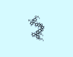 Cc1ccc(N(c2ccccc2)c2ccc3cc4c(cc3c2)oc2ccc3oc5cc6cc(N(c7ccccc7)c7ccc(C)cc7C)ccc6cc5c3c24)c(C)c1